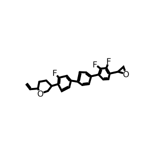 C=CC1CCC(c2ccc(-c3ccc(-c4ccc(C5CO5)c(F)c4F)cc3)cc2F)CO1